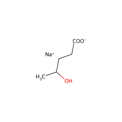 CC(O)CCC(=O)[O-].[Na+]